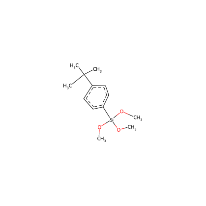 CO[Si](OC)(OC)c1ccc(C(C)(C)C)cc1